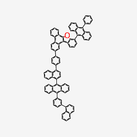 c1ccc(-c2c3ccccc3c(-c3cccc4c3oc3c5ccccc5c5ccc(-c6ccc(-c7ccc(-c8c9ccccc9c(-c9cccc(-c%10cccc%11ccccc%10%11)c9)c9ccccc89)c8ccccc78)cc6)cc5c43)c3ccccc23)cc1